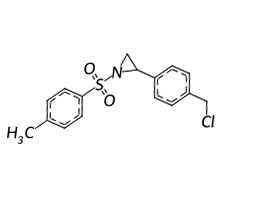 Cc1ccc(S(=O)(=O)N2CC2c2ccc(CCl)cc2)cc1